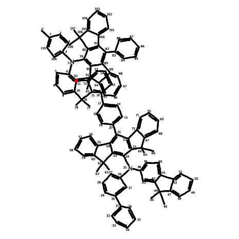 Cc1ccc(N(c2cccc3c2-c2cccc(-c4ccc(-c5c6c(c(N(c7cccc(-c8ccccc8)c7)c7ccc8c(c7)C(C)(C)c7ccccc7-8)c7c5-c5ccccc5C7(C)C)C(C)(C)c5ccccc5-6)cc4)c2C3(C)C)c2c3c(c(-c4ccccc4)c4c2C(C)(C)c2ccccc2-4)-c2ccccc2C3(C)C)cc1